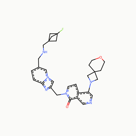 O=c1c2cncc(N3CC4(CCOCC4)C3)c2ccn1Cc1cn2cc(CNCC34CC(F)(C3)C4)ccc2n1